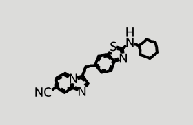 N#Cc1ccn2c(Cc3ccc4nc(NC5CCCCC5)sc4c3)cnc2c1